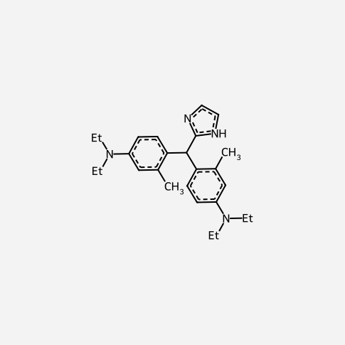 CCN(CC)c1ccc(C(c2ncc[nH]2)c2ccc(N(CC)CC)cc2C)c(C)c1